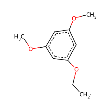 [CH2]COc1cc(OC)cc(OC)c1